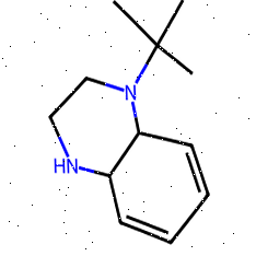 CC(C)(C)N1CCNC2C=CC=CC21